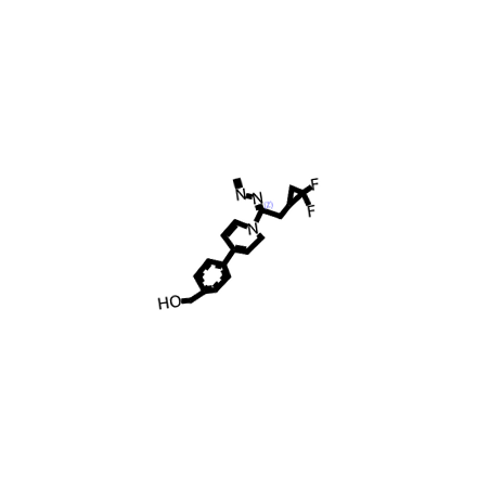 C=N/N=C(/CC1CC1(F)F)N1C=CC(c2ccc(CO)cc2)=CC1